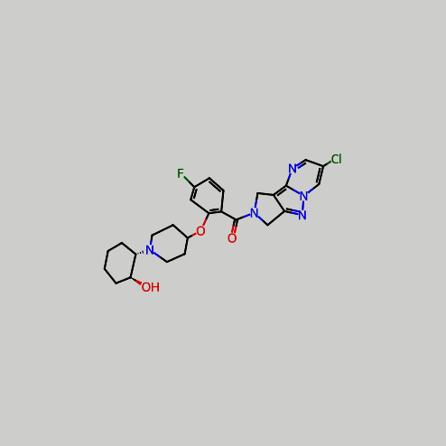 O=C(c1ccc(F)cc1OC1CCN([C@H]2CCCC[C@@H]2O)CC1)N1Cc2nn3cc(Cl)cnc3c2C1